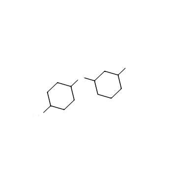 O=CC1CCC(OC2CCCC(C=O)C2)CC1